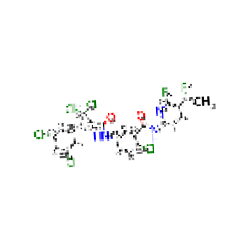 C=C(F)c1ccc(NC(=O)c2cc(NC(=O)C3C(c4cc(Cl)cc(Cl)c4)C3(Cl)Cl)ccc2Cl)nc1F